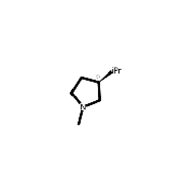 CC(C)[C@@H]1CCN(C)C1